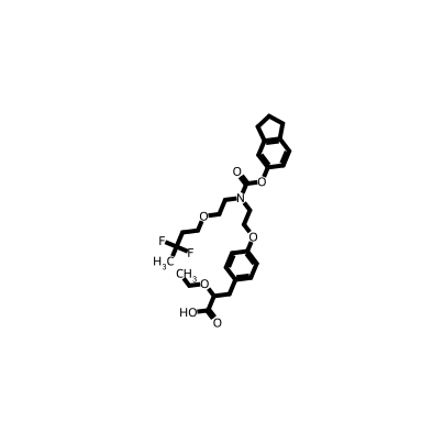 CCOC(Cc1ccc(OCCN(CCOCCC(C)(F)F)C(=O)Oc2ccc3c(c2)CCC3)cc1)C(=O)O